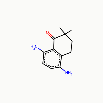 CC1(C)CCc2c(N)ccc(N)c2C1=O